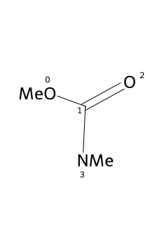 [CH2]OC(=O)NC